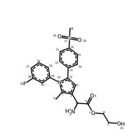 Cc1c(C(N)C(=O)OCCO)cc(-c2ccc(S(C)(=O)=O)cc2)n1-c1cccc(F)c1